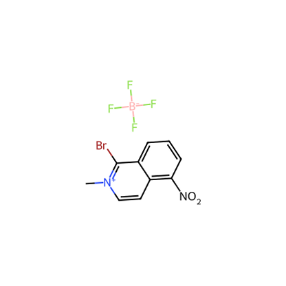 C[n+]1ccc2c([N+](=O)[O-])cccc2c1Br.F[B-](F)(F)F